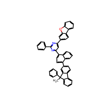 CC1(c2ccccc2)c2ccccc2-c2ccc(-c3ccc(-c4cc(-c5ccc6c(c5)oc5ccccc56)nc(-c5ccccc5)n4)c4ccccc34)cc21